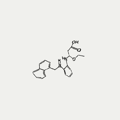 CCOC(CC(=O)O)Nc1ccccc1NCc1cccc2ccccc12